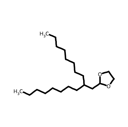 CCCCCCCCC(CCCCCCCC)CC1OCCO1